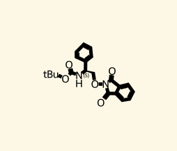 CC(C)(C)OC(=O)N[C@H](CON1C(=O)c2ccccc2C1=O)c1ccccc1